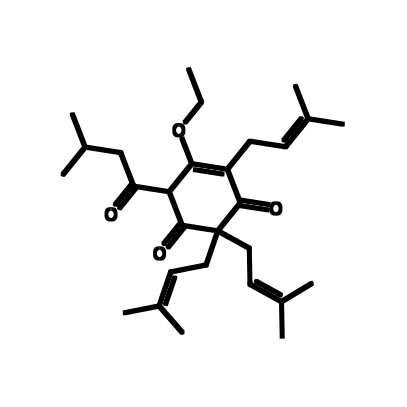 CCOC1=C(CC=C(C)C)C(=O)C(CC=C(C)C)(CC=C(C)C)C(=O)C1C(=O)CC(C)C